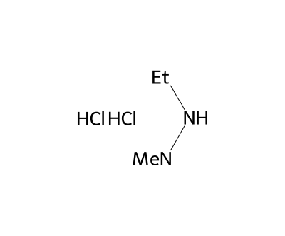 CCNNC.Cl.Cl